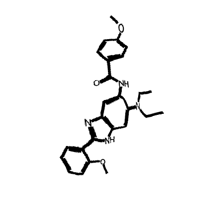 CCN(CC)c1cc2[nH]c(-c3ccccc3OC)nc2cc1NC(=O)c1ccc(OC)cc1